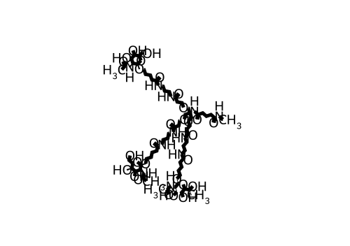 CNC(=O)CCCC(=O)NC(COCCC(=O)NCCCNC(=O)CCCCO[C@H](OC(CO)[C@@H](C)O)[C@H](CO)NC(C)=O)(COCCC(=O)NCCCNC(=O)CCCCO[C@@H]1OC(CO)C(O)C(O)[C@@H]1NC(C)=O)COCCC(=O)NCCCNC(=O)CCCCO[C@@H]1OC(CO)[C@H](O)C(O)[C@@H]1NC(C)=O